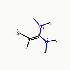 CC([SiH3])=C(N(C)C)N(C)C